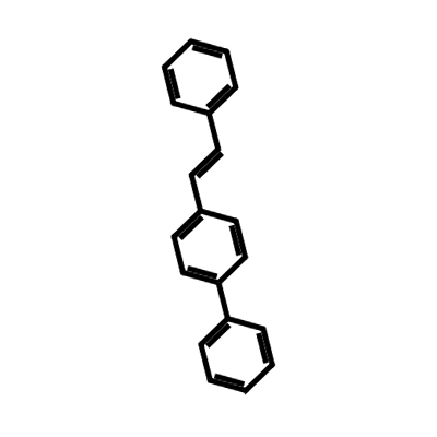 [c]1ccc(-c2ccc(C=Cc3ccccc3)cc2)cc1